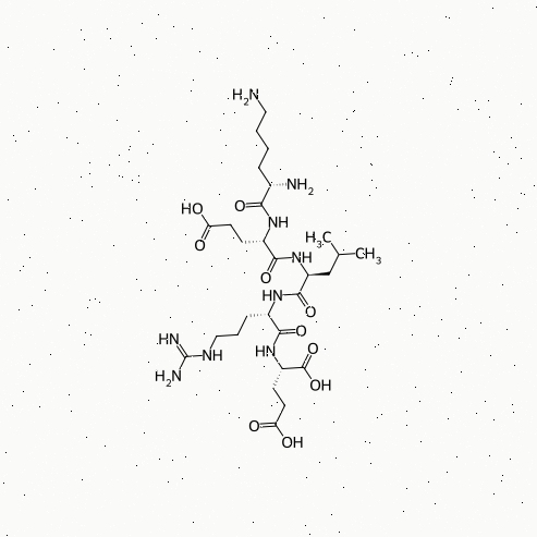 CC(C)C[C@H](NC(=O)[C@H](CCC(=O)O)NC(=O)[C@@H](N)CCCCN)C(=O)N[C@@H](CCCNC(=N)N)C(=O)N[C@@H](CCC(=O)O)C(=O)O